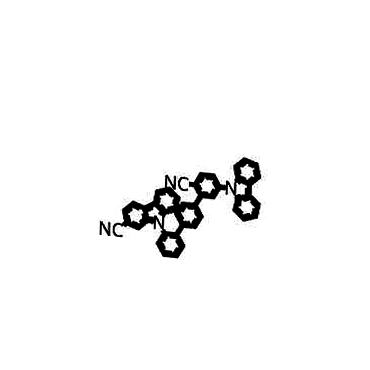 N#Cc1ccc2c3ccccc3n(-c3ccccc3-c3ccc(-c4cc(-n5c6ccccc6c6ccccc65)ccc4C#N)cc3)c2c1